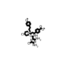 COC(=O)c1ccc(C(CC[N+]2(CCCc3ccc(OC)cc3)CCCCC2)NC(=O)c2nc(Cl)c(N)nc2N)cc1.[Cl-]